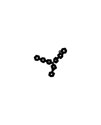 C1=CC2c3ccccc3OC2C=C1c1ccc(N(c2ccc(-c3ccc(-c4ccccc4)cc3)cc2)c2ccc3c(c2)C3c2ccccc2)cc1